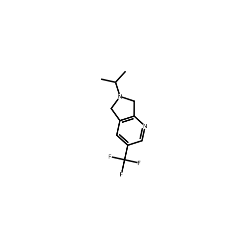 CC(C)N1Cc2cc(C(F)(F)F)cnc2C1